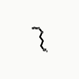 CCCC[CH]OCCCC(F)(F)F